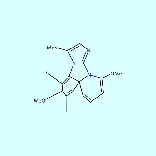 COC1=CC=CC23C=C(C)C(OC)C(C)=C2n2c(SC)cnc2N13